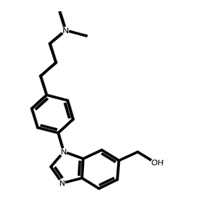 CN(C)CCCc1ccc(-n2cnc3ccc(CO)cc32)cc1